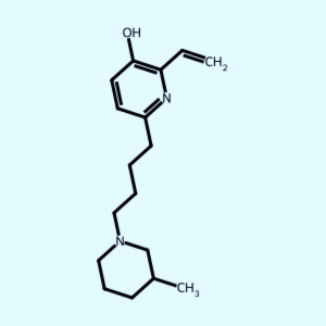 C=Cc1nc(CCCCN2CCCC(C)C2)ccc1O